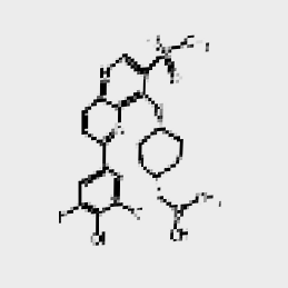 CN(C)C[C@H]1CC[C@H](Nc2c(S(C)(=O)=O)cnc3ccc(-c4cc(F)c(O)c(Cl)c4)nc23)CC1